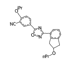 CCCOC1Cc2cccc(-c3noc(-c4ccc(OC(C)C)c(C#N)c4)n3)c2C1